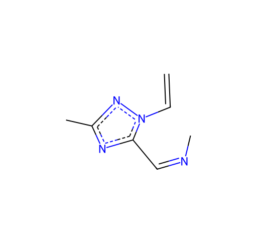 C=Cn1nc(C)nc1/C=N\C